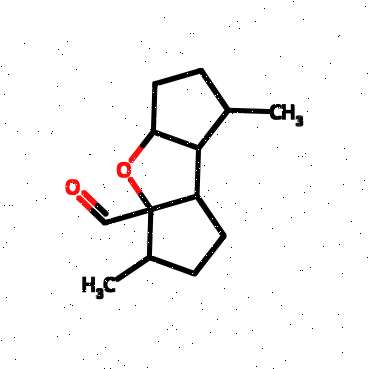 CC1CCC2OC3(C=O)C(C)CCC3C12